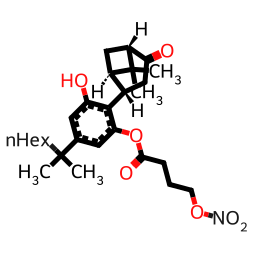 CCCCCCC(C)(C)c1cc(O)c([C@H]2CC(=O)[C@H]3C[C@H]2C3(C)C)c(OC(=O)CCCO[N+](=O)[O-])c1